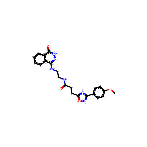 COc1ccc(-c2noc(CCC(=O)NCCNc3n[nH]c(=O)c4ccccc34)n2)cc1